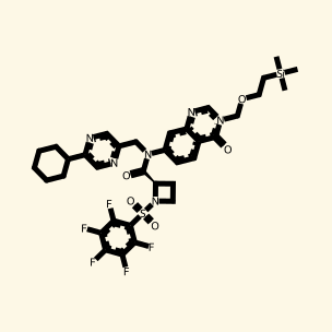 C[Si](C)(C)CCOCn1cnc2cc(N(Cc3cnc(C4CCCCC4)cn3)C(=O)[C@H]3CCN3S(=O)(=O)c3c(F)c(F)c(F)c(F)c3F)ccc2c1=O